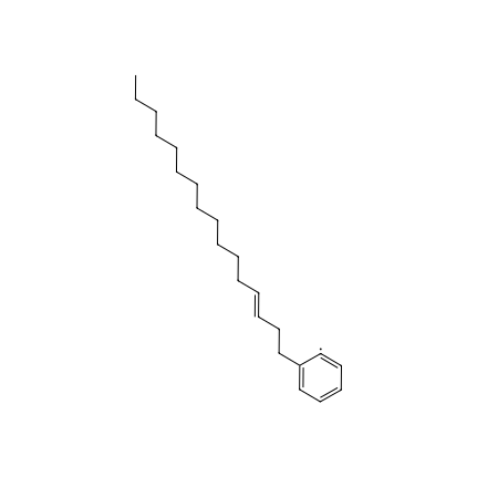 CCCCCCCCCCCCC=CCCc1[c]cccc1